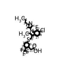 CCCn1cc(-n2c(C)c(CSc3ccc(C(F)(F)F)c(CC(=O)O)c3)c3ccc(Cl)c(F)c32)cn1